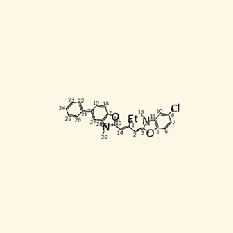 CC/C(C=C1Oc2ccc(Cl)cc2N1C)=C\c1oc2ccc(-c3ccccc3)cc2[n+]1C